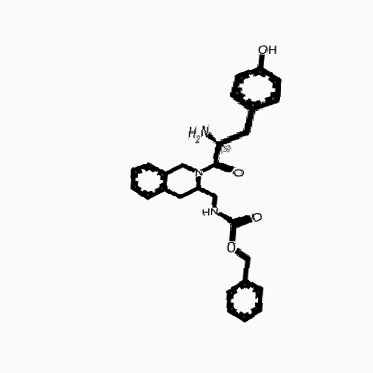 N[C@@H](Cc1ccc(O)cc1)C(=O)N1Cc2ccccc2CC1CNC(=O)OCc1ccccc1